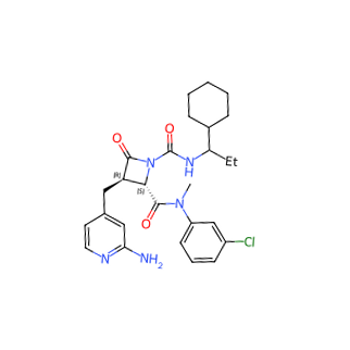 CCC(NC(=O)N1C(=O)[C@H](Cc2ccnc(N)c2)[C@H]1C(=O)N(C)c1cccc(Cl)c1)C1CCCCC1